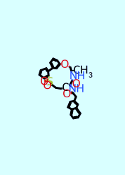 C[C@@H]1COc2cccc(c2)-c2ccccc2S(=O)(=O)CCCC[C@H](NC(=O)Cc2ccc3ccccc3c2)C(=O)N1